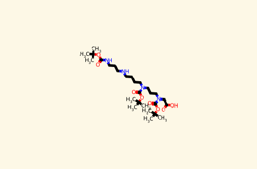 CC(C)(C)OC(=O)NCCCNCCCCN(CCCN(CC(=O)O)C(=O)OC(C)(C)C)C(=O)OC(C)(C)C